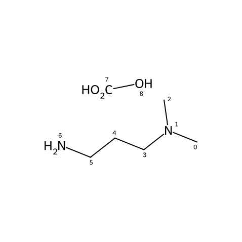 CN(C)CCCN.O=C(O)O